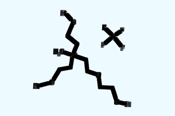 CCOCCOCC[N+](C)(CCOCC)CCOCC.F[B-](F)(F)F